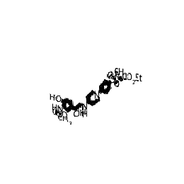 CCOC(=O)CN(C)S(=O)(=O)c1ccc(N2CCC(NC[C@@H](O)c3ccc(O)c(NS(C)(=O)=O)c3)CC2)cc1